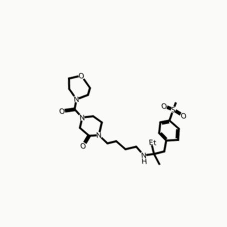 CCC(C)(Cc1ccc(S(C)(=O)=O)cc1)NCCCCN1CCN(C(=O)N2CCOCC2)CC1=O